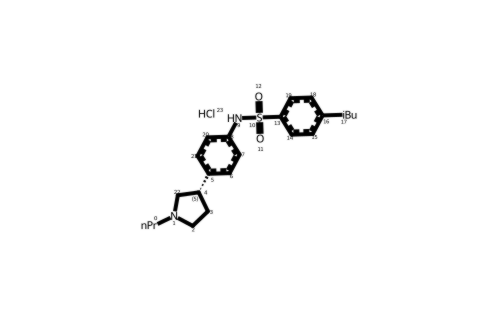 CCCN1CC[C@@H](c2ccc(NS(=O)(=O)c3ccc(C(C)CC)cc3)cc2)C1.Cl